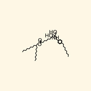 CCCCCCCCc1ccc(CCC(CO)(CO)NCCCCCCC(=O)OCC(CCCCCCCC)CCCCCCCC)cc1